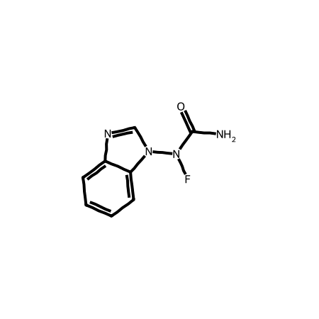 NC(=O)N(F)n1cnc2ccccc21